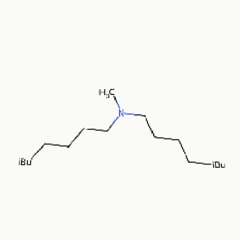 CCC(C)CCCCN(C)CCCCC(C)CC